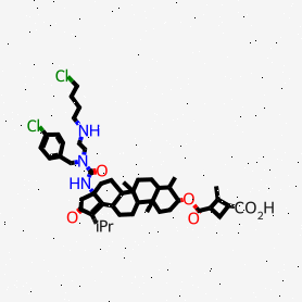 CC(C)C1=C2C3CCC4C(C)(CCC5C(C)C(OC(=O)C6CC(C(=O)O)C6C)CCC54C)C3CCC2(NC(=O)N(CCNCCCCCl)Cc2ccc(Cl)cc2)CC1=O